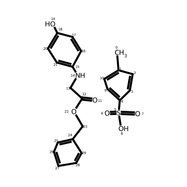 Cc1ccc(S(=O)(=O)O)cc1.O=C(CNc1ccc(O)cc1)OCc1ccccc1